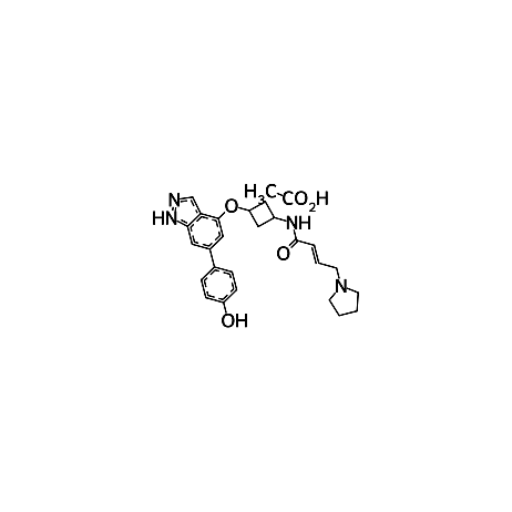 CC(=O)O.O=C(/C=C/CN1CCCC1)NC1CC(Oc2cc(-c3ccc(O)cc3)cc3[nH]ncc23)C1